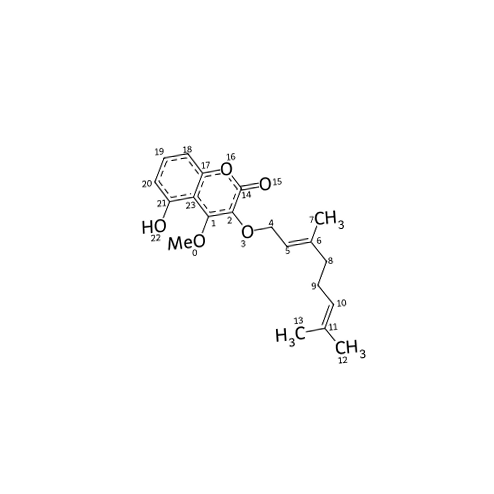 COc1c(OC/C=C(\C)CCC=C(C)C)c(=O)oc2cccc(O)c12